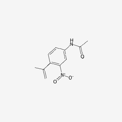 C=C(C)c1ccc(NC(C)=O)cc1[N+](=O)[O-]